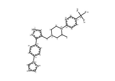 CC1CN(Cc2c[nH]nc2-c2ccc(-n3cncn3)cc2)CCN1c1ccc(C(F)(F)F)cn1